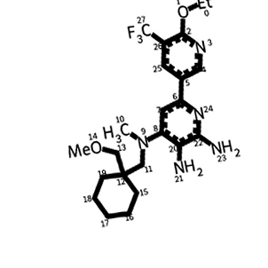 CCOc1ncc(-c2cc(N(C)CC3(COC)CCCCC3)c(N)c(N)n2)cc1C(F)(F)F